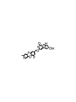 Cc1ccc(Oc2c(F)cc(COc3cc4n(c(=O)n3)C[C@@H]3C[C@H](O)CN43)cc2F)cn1